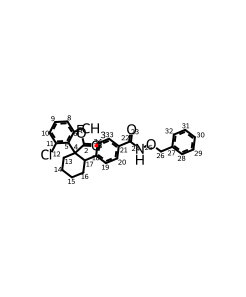 COC(=O)C1(c2c(F)cccc2Cl)CCCCC1c1ccc(C(=O)NOCc2ccccc2)cc1